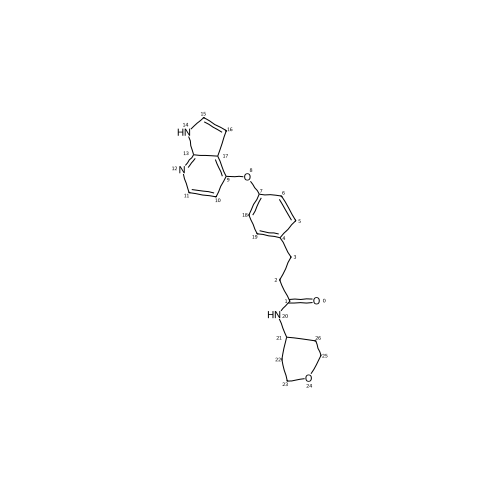 O=C(CCc1ccc(Oc2ccnc3[nH]ccc23)cc1)NC1CCOCC1